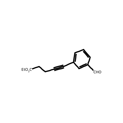 CCOC(=O)CCC#Cc1cccc(C=O)c1